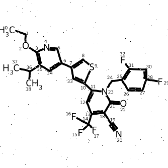 CCOc1ncc(-c2csc(-c3cc(C(F)(F)F)c(C#N)c(=O)n3Cc3ccc(F)cc3F)c2)cc1C(C)C